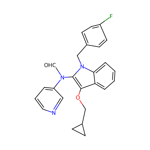 O=CN(c1cccnc1)c1c(OCC2CC2)c2ccccc2n1Cc1ccc(F)cc1